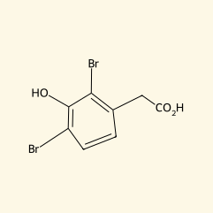 O=C(O)Cc1ccc(Br)c(O)c1Br